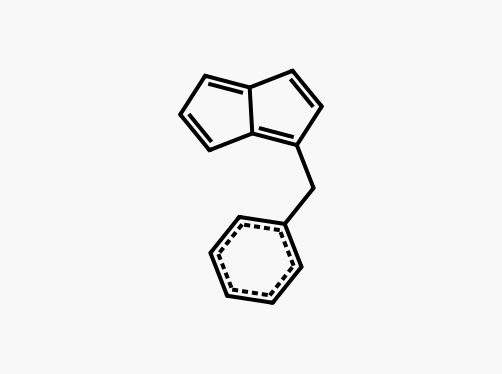 C1=CC2=C(Cc3ccccc3)C=CC2=C1